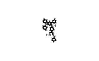 N=C/C(=C\N=C\c1ccccc1)c1ccc(Nc2cc3c(cc2-c2ccccc2)c2ccccc2n3-c2ccccc2)cc1